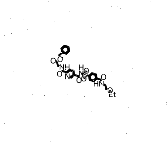 CCOCCNC(=O)c1ccc(S(=O)(=O)NC(=O)c2ccc(C(=O)NCC(=O)OCc3ccccc3)nc2)cc1